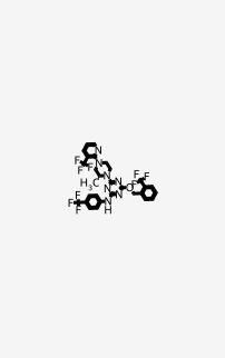 C[C@@H]1CN(c2ncccc2C(F)(F)F)CCN1c1nc(Nc2ccc(C(F)(F)F)cc2)nc(OCc2ccccc2C(F)(F)F)n1